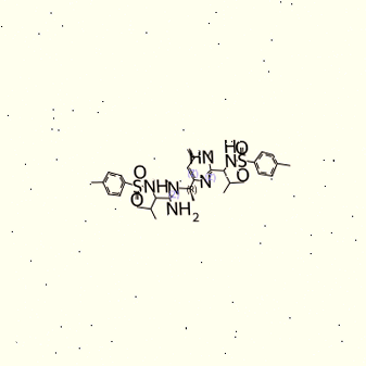 C=C/C=C(\N=C(/NC)C(NS(=O)(=O)c1ccc(C)cc1)C(C)C)[C@@H](C)/N=C(\N)C(NS(=O)(=O)c1ccc(C)cc1)C(C)C